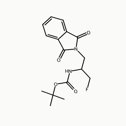 CC(C)(C)OC(=O)NC(CF)CN1C(=O)c2ccccc2C1=O